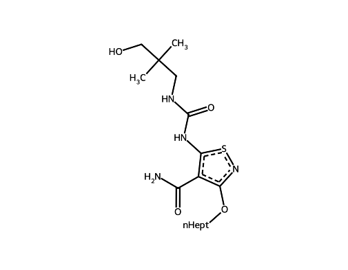 CCCCCCCOc1nsc(NC(=O)NCC(C)(C)CO)c1C(N)=O